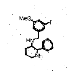 COc1cc(I)cc(CNC2CCCNC2c2ccccc2)c1